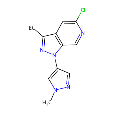 CCc1nn(-c2cnn(C)c2)c2cnc(Cl)cc12